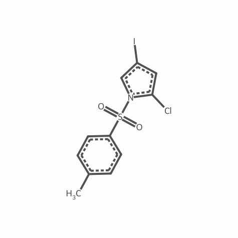 Cc1ccc(S(=O)(=O)n2cc(I)cc2Cl)cc1